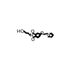 O=C1c2ccc(OCCN3CCCC3)cc2C(=O)N1CCCCO